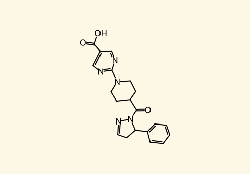 O=C(O)c1cnc(N2CCC(C(=O)N3N=CCC3c3ccccc3)CC2)nc1